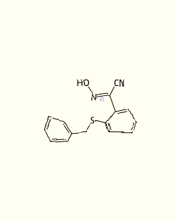 N#C/C(=N\O)c1ccccc1SCc1ccccc1